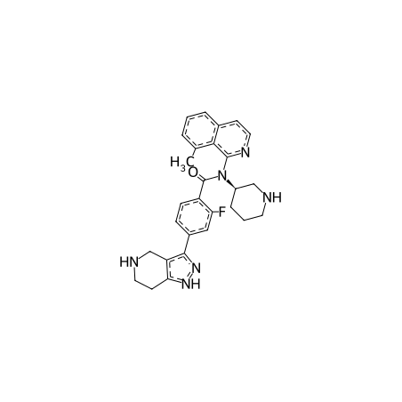 Cc1cccc2ccnc(N(C(=O)c3ccc(-c4n[nH]c5c4CNCC5)cc3F)[C@@H]3CCCNC3)c12